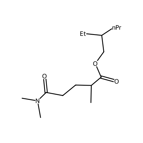 CCCC(CC)COC(=O)C(C)CCC(=O)N(C)C